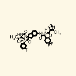 Cc1nonc1C(=O)N[C@H](C(=O)Nc1ccc2c(c1)CC(C(=O)Nc1cccc(F)c1)(N1C[C@@H](C(C)C)NC1=O)C2)C1CCC(F)(F)CC1